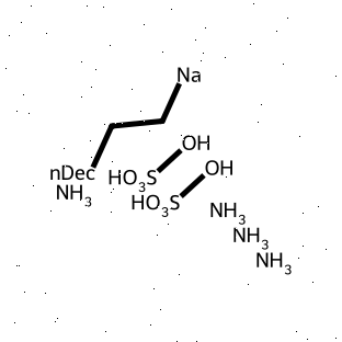 CCCCCCCCCCC[CH2][Na].N.N.N.N.O=S(=O)(O)O.O=S(=O)(O)O